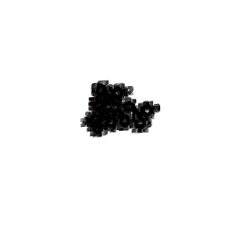 Cc1ccc(N2c3ccc4c(c3)C(C)(c3ccc(cc3)-c3ccccc32)c2cc3c(N(c5ccc(C)cc5)c5ccccc5-c5ccccc5)c5ccccc5c(N(c5ccc(C)cc5)c5ccccc5-c5ccccc5)c3cc2-4)cc1